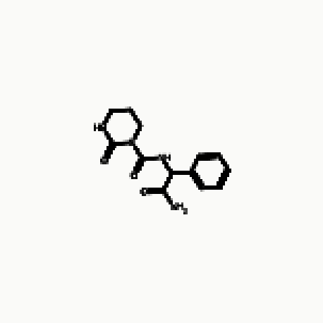 NC(=O)C(NC(=O)N1CCCNC1=O)c1ccccc1